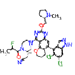 C=C(F)C(=O)N1CCN(c2nc(OCC3CCCN3C)nc3cc(-c4c(Cl)c(Cl)cc5[nH]ncc45)c4c(c23)OCCC4)C[C@@H]1CC#N